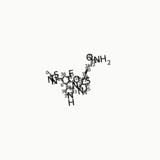 Cc1nnc(-c2ccc(C(=O)N(c3nccc4sc(C#CCCC(N)=O)cc34)[C@@H]3CCCNC3)c(F)c2)s1